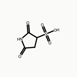 O=C1CC(S(=O)(=O)O)C(=O)N1